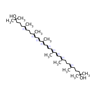 CC(/C=C/C=C(\C)CC/C=C(\C)CCCC(C)(C)O)=C\C=C\C=C(C)\C=C\C=C(/C)CC/C=C(\C)CCCC(C)(C)O